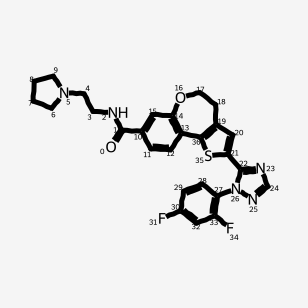 O=C(NCCN1CCCC1)c1ccc2c(c1)OCCc1cc(-c3ncnn3-c3ccc(F)cc3F)sc1-2